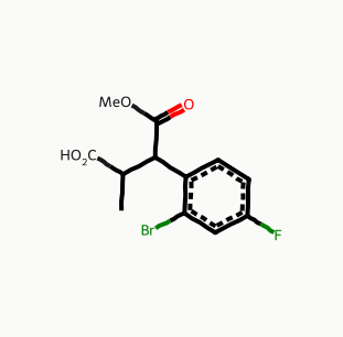 COC(=O)C(c1ccc(F)cc1Br)C(C)C(=O)O